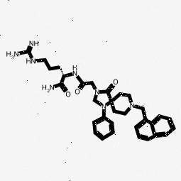 N=C(N)NCCC[C@H](NC(=O)CN1CN(c2ccccc2)C2(CCN(Cc3cccc4ccccc34)CC2)C1=O)C(N)=O